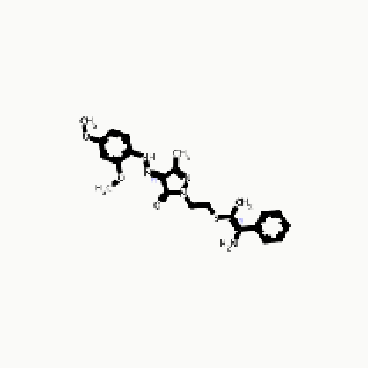 COc1ccc(N/N=C2/C(=O)N(CCS/C(C)=C(\N)c3ccccc3)N=C2C)c(OC)c1